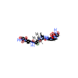 Cc1cc(NC(=O)NCc2ccc3c(c2)C(=O)N(C2CCC(=O)NC2=O)C3)cc(CC2CN(C)C(Cc3cc(NC(=O)NCc4ccc5c(c4)C(=O)N(C4CCC(=O)NC4=O)C5)cc(Cl)c3C)CO2)n1